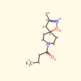 O=C(CCC(F)(F)F)N1CCC2(CC1)CC(I)=NO2